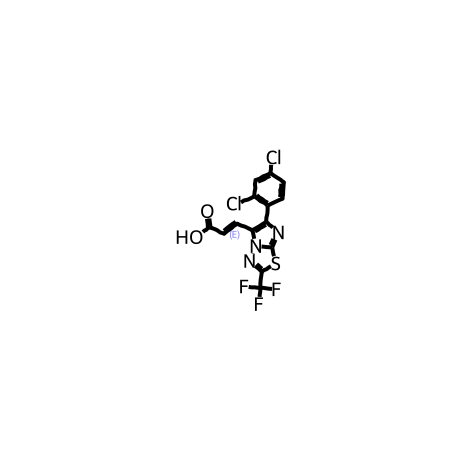 O=C(O)/C=C/c1c(-c2ccc(Cl)cc2Cl)nc2sc(C(F)(F)F)nn12